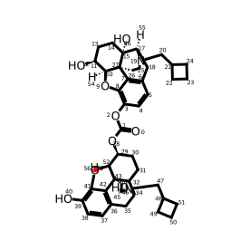 O=C(Oc1ccc2c3c1O[C@H]1[C@@H](O)CC[C@@]4(O)[C@@H](C2)N(CC2CCC2)CC[C@]314)O[C@H]1CC[C@@]2(O)C3Cc4ccc(O)c5c4[C@@]2(CCN3CC2CCC2)[C@H]1O5